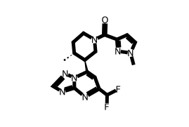 C[C@@H]1CCN(C(=O)c2ccn(C)n2)C[C@H]1c1cc(C(F)F)nc2ncnn12